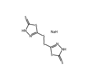 S=c1[nH]nc(SSc2n[nH]c(=S)s2)s1.[NaH]